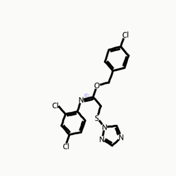 Clc1ccc(CO/C(CSn2cncn2)=N/c2ccc(Cl)cc2Cl)cc1